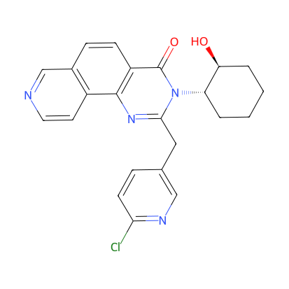 O=c1c2ccc3cnccc3c2nc(Cc2ccc(Cl)nc2)n1[C@H]1CCCC[C@@H]1O